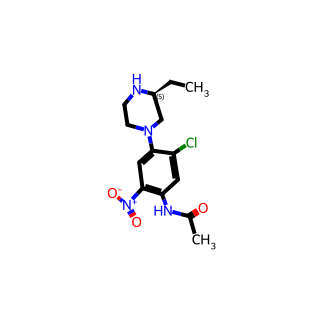 CC[C@H]1CN(c2cc([N+](=O)[O-])c(NC(C)=O)cc2Cl)CCN1